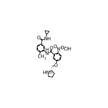 Cc1ccc(C(=O)NC2CC2)cc1NC(=O)c1cc(OC[C@@H]2CCCN2)ccc1[N+](=O)[O-].Cl